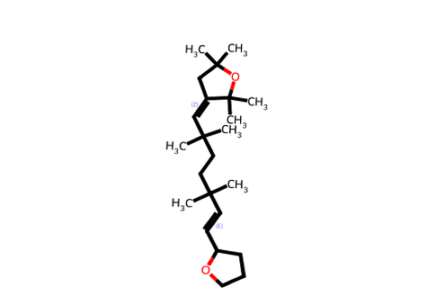 CC(C)(/C=C1/CC(C)(C)OC1(C)C)CCC(C)(C)/C=C/C1CCCO1